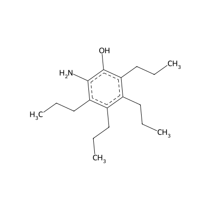 CCCc1c(N)c(O)c(CCC)c(CCC)c1CCC